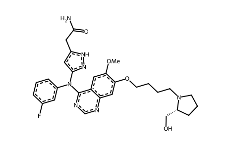 COc1cc2c(N(c3cccc(F)c3)c3cc(CC(N)=O)[nH]n3)ncnc2cc1OCCCCN1CCC[C@@H]1CO